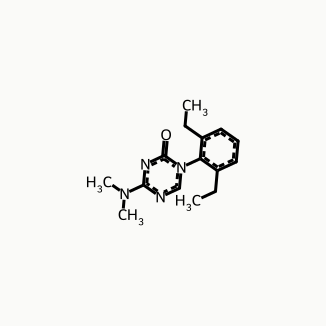 CCc1cccc(CC)c1-n1cnc(N(C)C)nc1=O